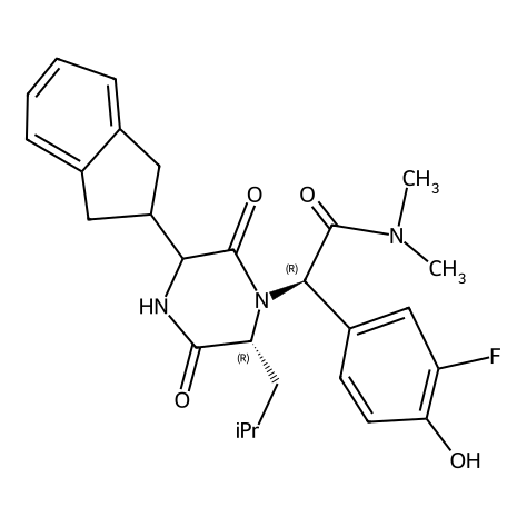 CC(C)C[C@@H]1C(=O)NC(C2Cc3ccccc3C2)C(=O)N1[C@@H](C(=O)N(C)C)c1ccc(O)c(F)c1